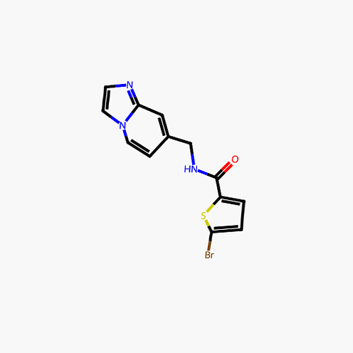 O=C(NCc1ccn2ccnc2c1)c1ccc(Br)s1